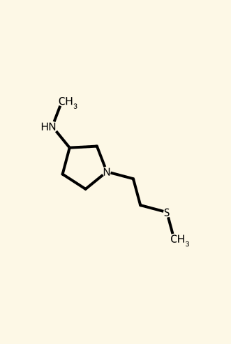 CNC1CCN(CCSC)C1